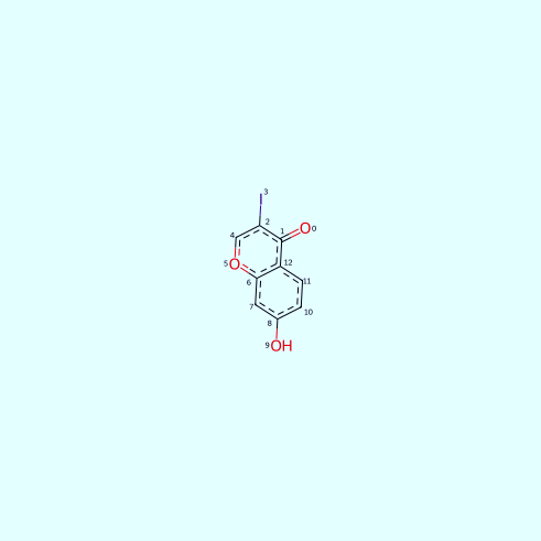 O=c1c(I)coc2cc(O)ccc12